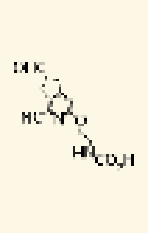 N#Cc1nc(OCCNC(=O)O)cc2c1CC(C=O)C2